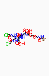 O=C(O)CC[C@H](NC(=O)CC[C@@H](NC(=O)COCCOCCNC(=O)CBr)C(=O)O)C(=O)N(CCNC(=O)CCl)CCNC(=O)CCl